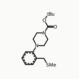 CSCc1ccccc1N1CCN(C(=O)OC(C)(C)C)CC1